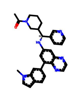 CC(=O)N1CCCC([C@@H](Nc2cc(-c3ccc4ccn(C)c4c3)c3nccnc3c2)c2cccnc2)C1